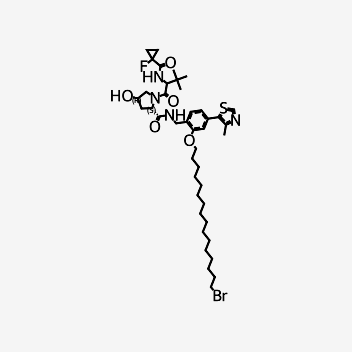 Cc1ncsc1-c1ccc(CNC(=O)[C@@H]2C[C@@H](O)CN2C(=O)C(NC(=O)C2(F)CC2)C(C)(C)C)c(OCCCCCCCCCCCCCCCCBr)c1